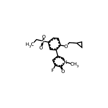 CCS(=O)(=O)c1ccc(OCC2CC2)c(-c2cc(F)c(=O)n(C)c2)c1